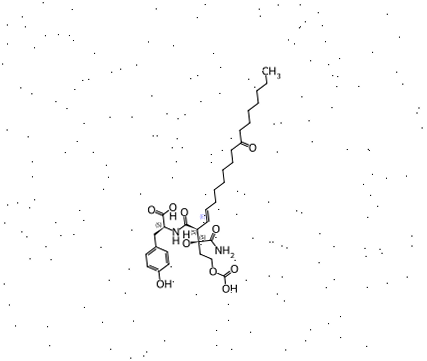 CCCCCCCC(=O)CCCCCC/C=C/[C@H](C(=O)N[C@@H](Cc1ccc(O)cc1)C(=O)O)[C@@](O)(CCOC(=O)O)C(N)=O